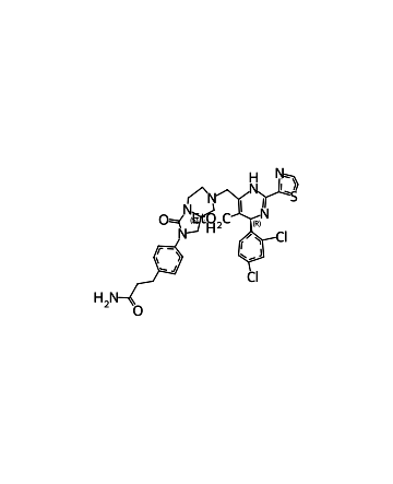 CCOC(=O)C1=C(CN2CCN3C(=O)N(c4ccc(CCC(N)=O)cc4)C[C@@H]3C2)NC(c2nccs2)=N[C@H]1c1ccc(Cl)cc1Cl